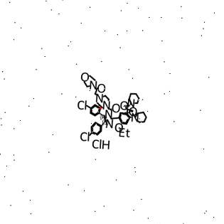 CCOc1cc(N2CCCCC2)c(S(=O)(=O)N2CCCCC2)cc1C1=N[C@@H](c2ccc(Cl)cc2)[C@@H](c2ccc(Cl)cc2)N1C(=O)N1CCN(CC(=O)N2CCOCC2)CC1.Cl